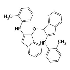 Cc1ccccc1PC1=Cc2ccccc2[CH]1[Zr][CH]1C(Pc2ccccc2C)=Cc2ccccc21